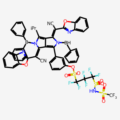 CC(C)c1c2/c(=C(\C#N)c3nc4ccccc4o3)n(Bc3ccccc3)c(-c3cccc(OS(=O)(=O)C(F)(F)C(F)(F)C(F)(F)S(=O)(=O)NS(=O)(=O)C(F)(F)F)c3)c2/c(=C(\C#N)c2nc3ccccc3o2)n1B(c1ccccc1)c1ccccc1